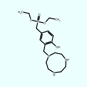 CCOP(=O)(Cc1ccc(O)c(CN2CCNCCNCC2)c1)OCC